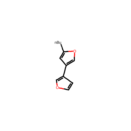 [CH2]CCCc1cc(-c2ccoc2)co1